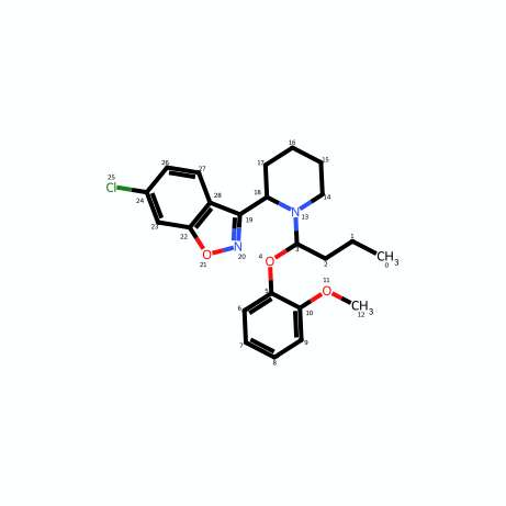 CCCC(Oc1cc[c]cc1OC)N1CCCCC1c1noc2cc(Cl)ccc12